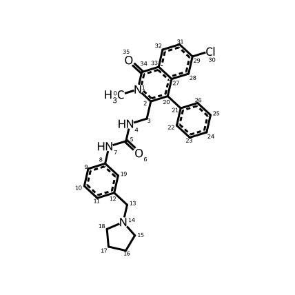 Cn1c(CNC(=O)Nc2cccc(CN3CCCC3)c2)c(-c2ccccc2)c2cc(Cl)ccc2c1=O